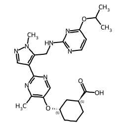 Cc1nc(-c2cnn(C)c2CNc2nccc(OC(C)C)n2)ncc1O[C@H]1CCC[C@H](C(=O)O)C1